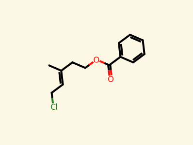 CC(=CCCl)CCOC(=O)c1ccccc1